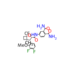 COc1c([C@H]2[C@H](C(=O)Nc3ccc(C(N)=O)c(C(N)=O)c3)O[C@]3(C(F)(F)F)CC[C@]23C)ccc(F)c1F